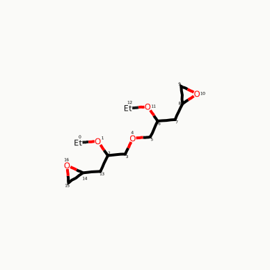 CCOC(COCC(CC1CO1)OCC)CC1CO1